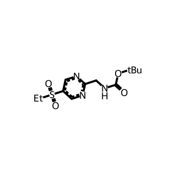 CCS(=O)(=O)c1cnc(CNC(=O)OC(C)(C)C)nc1